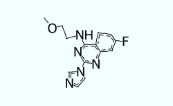 COCCNc1nc(-n2ccnc2)nc2cc(F)ccc12